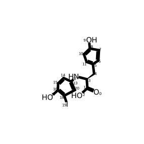 O=C(O)[C@H](Cc1ccc(O)cc1)Nc1ccc(O)c(I)c1